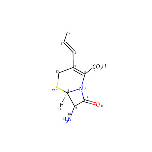 C/C=C/C1=C(C(=O)O)N2C(=O)C(N)[C@H]2SC1